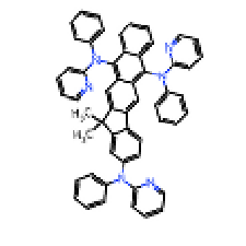 CC1(C)c2cc(N(c3ccccc3)c3ccccn3)ccc2-c2cc3c(N(c4ccccc4)c4ccccn4)c4ccccc4c(N(c4ccccc4)c4ccccn4)c3cc21